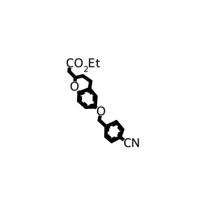 CCOC(=O)CC1CCc2cc(OCc3ccc(C#N)cc3)ccc2O1